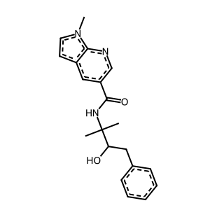 Cn1ccc2cc(C(=O)NC(C)(C)C(O)Cc3ccccc3)cnc21